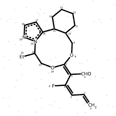 C=C/C=C(F)\C(C=O)=C1\OCC2CCCCC2c2ccnn2C(CC)CO1